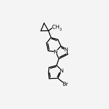 CC1(c2ccn3c(-c4cccc(Br)n4)cnc3c2)CC1